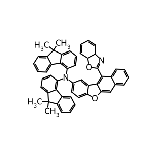 CC1(C)c2ccccc2-c2c(N(c3ccc4oc5cc6ccccc6c(C6=NC7C=CC=CC7O6)c5c4c3)c3cccc4c3-c3ccccc3C4(C)C)cccc21